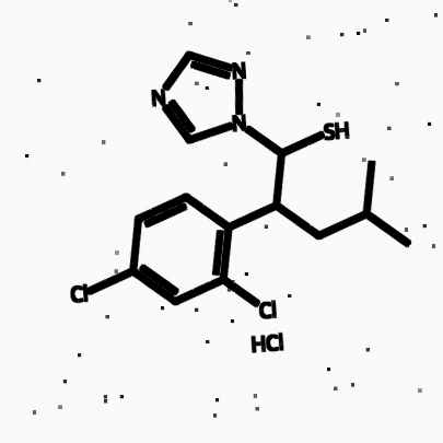 CC(C)CC(c1ccc(Cl)cc1Cl)C(S)n1cncn1.Cl